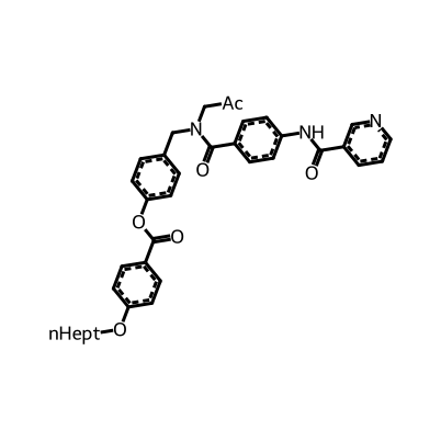 CCCCCCCOc1ccc(C(=O)Oc2ccc(CN(CC(C)=O)C(=O)c3ccc(NC(=O)c4cccnc4)cc3)cc2)cc1